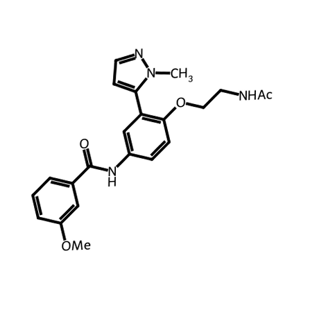 COc1cccc(C(=O)Nc2ccc(OCCNC(C)=O)c(-c3ccnn3C)c2)c1